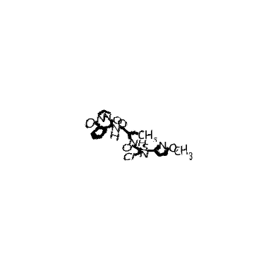 CCC(CNC(=O)c1sc(-c2ccc(OC)nc2)nc1Cl)C(=O)N[C@@H]1C(=O)N2CCCN2C(=O)c2ccccc21